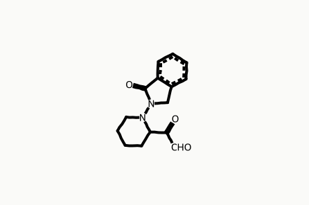 O=CC(=O)C1CCCCN1N1Cc2ccccc2C1=O